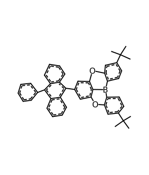 CC(C)(C)c1ccc2c(c1)Oc1cc(-c3c4ccccc4c(-c4ccccc4)c4ccccc34)cc3c1B2c1ccc(C(C)(C)C)cc1O3